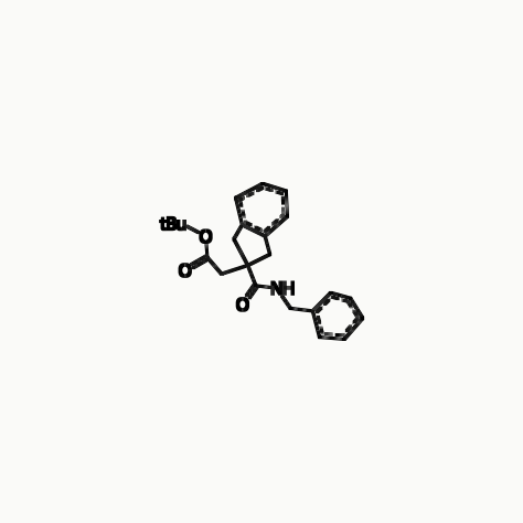 CC(C)(C)OC(=O)CC1(C(=O)NCc2ccccc2)Cc2ccccc2C1